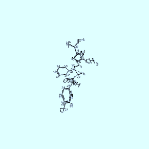 Cc1nc(C(F)F)nn1CC[C@@]1(C2C=CC=CC2)C[C@H]1C(=O)Nc1ccc(Cl)cn1